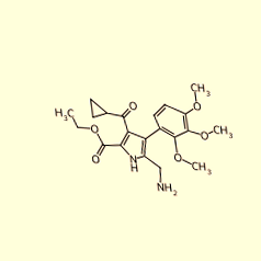 CCOC(=O)c1[nH]c(CN)c(-c2ccc(OC)c(OC)c2OC)c1C(=O)C1CC1